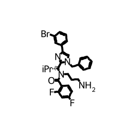 CC(C)[C@H](c1nc(-c2cccc(Br)c2)cn1Cc1ccccc1)N(CCCN)C(=O)c1ccc(F)cc1F